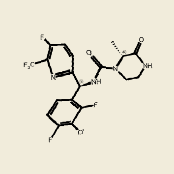 C[C@@H]1C(=O)NCCN1C(=O)N[C@H](c1ccc(F)c(C(F)(F)F)n1)c1ccc(F)c(Cl)c1F